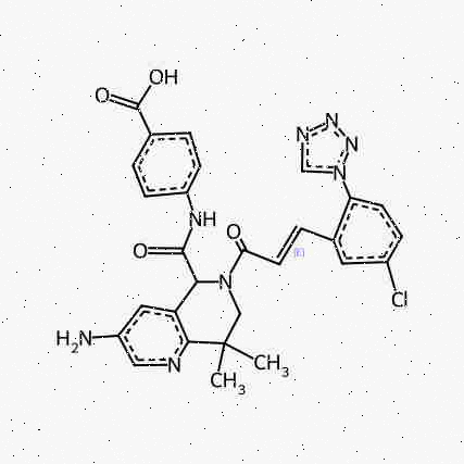 CC1(C)CN(C(=O)/C=C/c2cc(Cl)ccc2-n2cnnn2)C(C(=O)Nc2ccc(C(=O)O)cc2)c2cc(N)cnc21